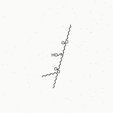 CCCCCCCCCOC(=O)CCCCCN(CCO)CCCCCCCC(=O)OC(CCCCCCCC)CCCCCCCC